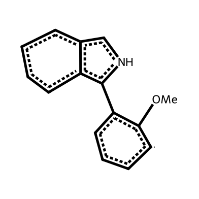 COc1[c]cccc1-c1[nH]cc2ccccc12